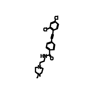 CN1CCN(CCNC(=O)c2ccc(C#Cc3ccc(Cl)cc3Cl)cc2)CC1